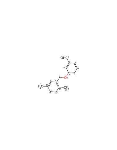 O=Cc1cccc(OCc2cc(C(F)(F)F)ccc2C(F)(F)F)c1